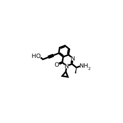 C[C@H](N)c1nc2cccc(C#CCO)c2c(=O)n1C1CC1